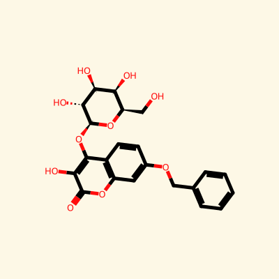 O=c1oc2cc(OCc3ccccc3)ccc2c(O[C@@H]2O[C@H](CO)[C@H](O)[C@H](O)[C@H]2O)c1O